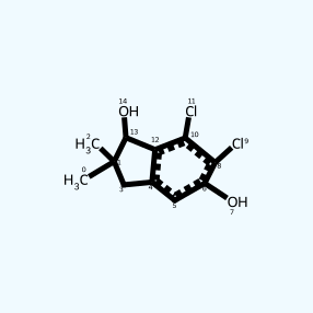 CC1(C)Cc2cc(O)c(Cl)c(Cl)c2C1O